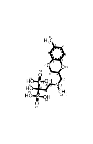 Cc1ccc2c(c1)OCC(CN(C)CCC(O)(P(=O)(O)O)P(=O)(O)O)O2